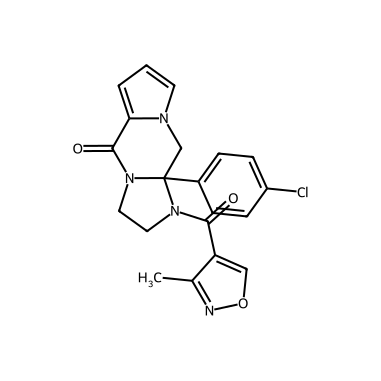 Cc1nocc1C(=O)N1CCN2C(=O)c3cccn3CC12c1ccc(Cl)cc1